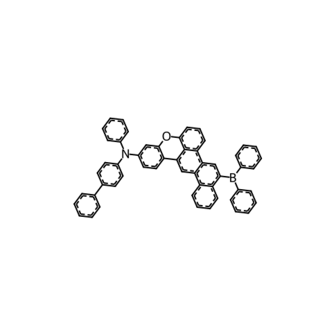 c1ccc(B(c2ccccc2)c2cc3c4cccc5c4c(cc3c3ccccc23)-c2ccc(N(c3ccccc3)c3ccc(-c4ccccc4)cc3)cc2O5)cc1